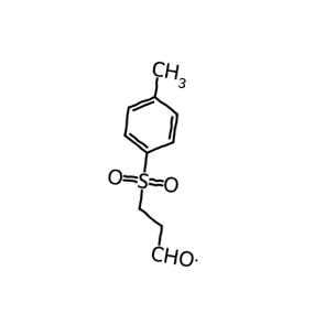 Cc1ccc(S(=O)(=O)CC[C]=O)cc1